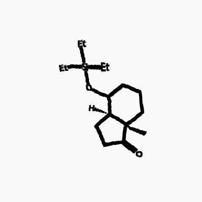 CC[Si](CC)(CC)OC1CCC[C@]2(C)C(=O)CC[C@@H]12